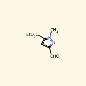 CCOC(=O)c1cc(C=O)nn1C